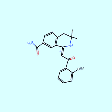 COc1ccccc1C(=O)/C=C1\NC(C)(C)Cc2ccc(C(N)=O)cc21